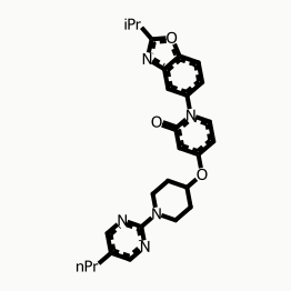 CCCc1cnc(N2CCC(Oc3ccn(-c4ccc5oc(C(C)C)nc5c4)c(=O)c3)CC2)nc1